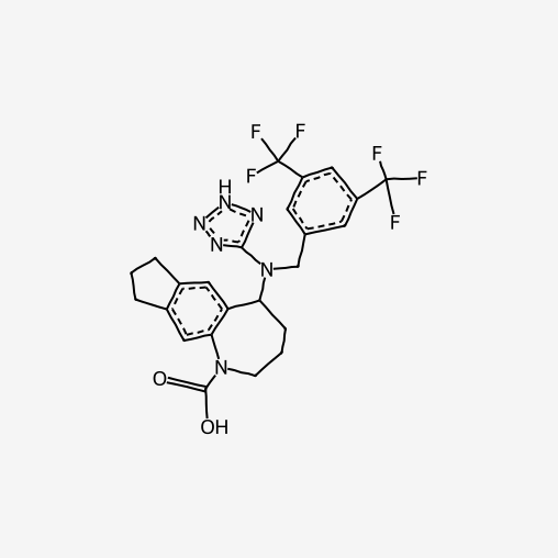 O=C(O)N1CCCC(N(Cc2cc(C(F)(F)F)cc(C(F)(F)F)c2)c2nn[nH]n2)c2cc3c(cc21)CCC3